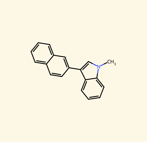 Cn1cc(-c2[c]c3ccccc3cc2)c2ccccc21